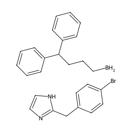 BCCCC(c1ccccc1)c1ccccc1.Brc1ccc(Cc2ncc[nH]2)cc1